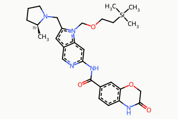 C[C@H]1CCCN1Cc1cc2cnc(NC(=O)c3ccc4c(c3)OCC(=O)N4)cc2n1COCC[Si](C)(C)C